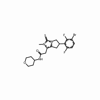 Cn1c(CC(=O)NC2CCOCC2)c2n(c1=S)CC(c1c(F)ccc(Br)c1F)C2